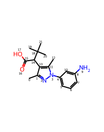 Cc1nn(-c2cccc(N)c2)c(C)c1C(C(=O)O)C(C)(C)C